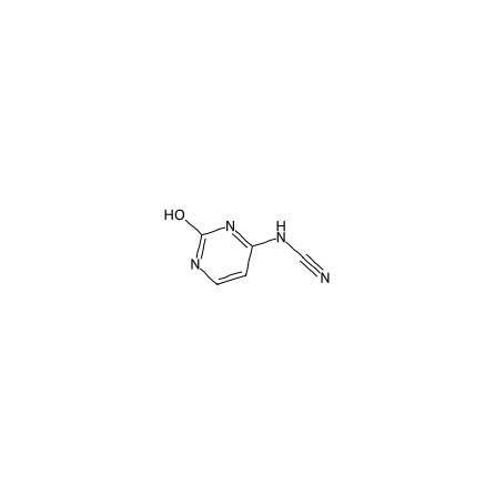 N#CNc1ccnc(O)n1